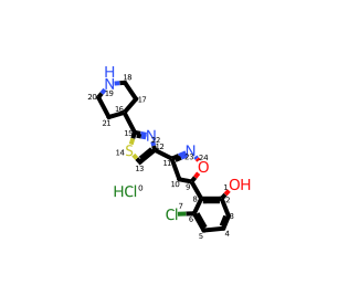 Cl.Oc1cccc(Cl)c1C1CC(c2csc(C3CCNCC3)n2)=NO1